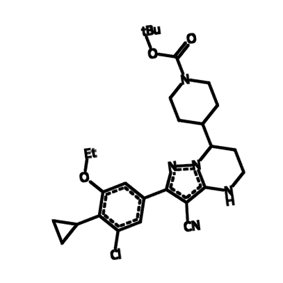 CCOc1cc(-c2nn3c(c2C#N)NCCC3C2CCN(C(=O)OC(C)(C)C)CC2)cc(Cl)c1C1CC1